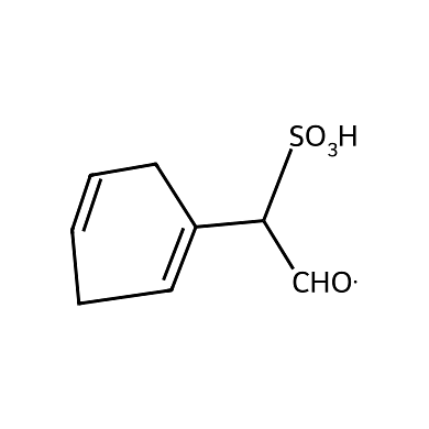 O=[C]C(C1=CCC=CC1)S(=O)(=O)O